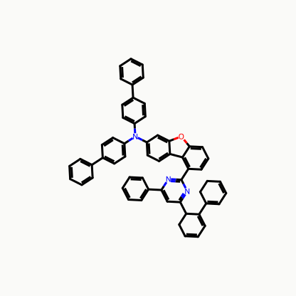 C1=CCCC(C2=CC=CCC2c2cc(-c3ccccc3)nc(-c3cccc4oc5cc(N(c6ccc(-c7ccccc7)cc6)c6ccc(-c7ccccc7)cc6)ccc5c34)n2)=C1